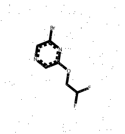 FC(F)COc1cncc(Br)n1